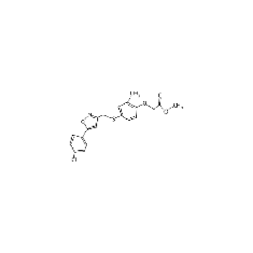 COC(=O)COc1ccc(SCc2cc(-c3ccc(Cl)cc3)on2)cc1C